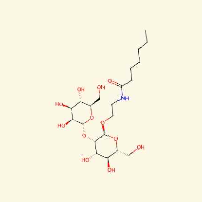 CCCCCCC(=O)NCCO[C@H]1O[C@H](CO)[C@@H](O)[C@H](O)[C@@H]1O[C@H]1O[C@H](CO)[C@@H](O)[C@H](O)[C@@H]1O